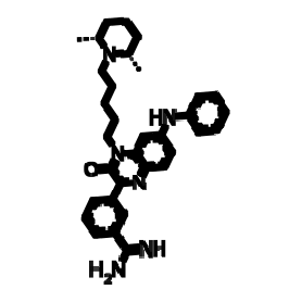 C[C@@H]1CCC[C@H](C)N1CCCCCn1c(=O)c(-c2cccc(C(=N)N)c2)nc2ccc(Nc3ccccc3)cc21